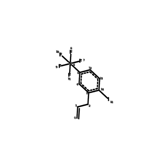 C=CCc1cc(S(F)(F)(F)(F)F)ccc1I